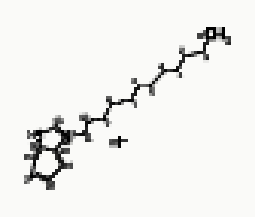 CCCCCCCCCCCC[n+]1csc2ccccc21.[I-]